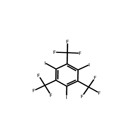 FC(F)(F)c1c(I)c(C(F)(F)F)c(I)c(C(F)(F)F)c1I